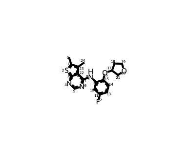 Cc1sc2ncnc(Nc3cc(F)ccc3OC3CCOC3)c2c1C